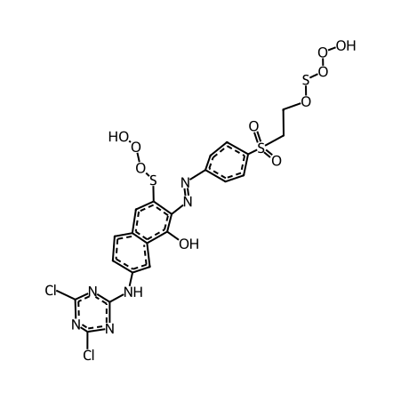 O=S(=O)(CCOSOOO)c1ccc(/N=N/c2c(SOOO)cc3ccc(Nc4nc(Cl)nc(Cl)n4)cc3c2O)cc1